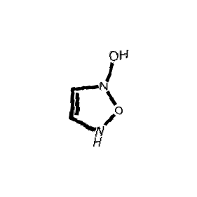 ON1C=CNO1